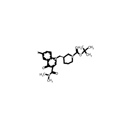 CN(C)C(=O)c1cn(C[C@@H]2CCCN(C(=O)OC(C)(C)C)C2)c2ccc(I)cc2c1=O